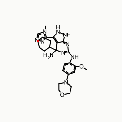 COc1cc(N2CCOCC2)ccc1NC1=NC(N)(C2CCCCC2)C2=C(c3nncn3C)NNC2=N1